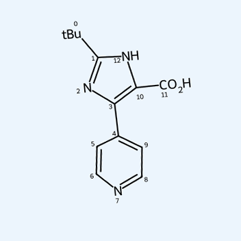 CC(C)(C)c1nc(-c2ccncc2)c(C(=O)O)[nH]1